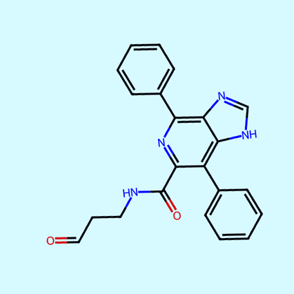 O=CCCNC(=O)c1nc(-c2ccccc2)c2nc[nH]c2c1-c1ccccc1